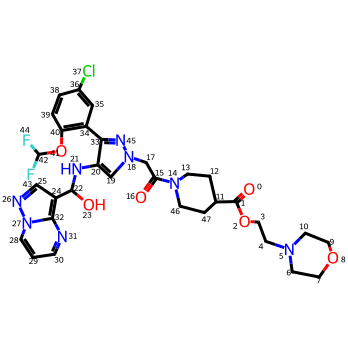 O=C(OCCN1CCOCC1)C1CCN(C(=O)Cn2cc(NC(O)c3cnn4cccnc34)c(-c3cc(Cl)ccc3OC(F)F)n2)CC1